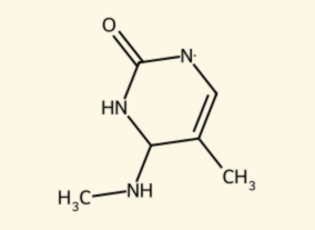 CNC1NC(=O)[N]C=C1C